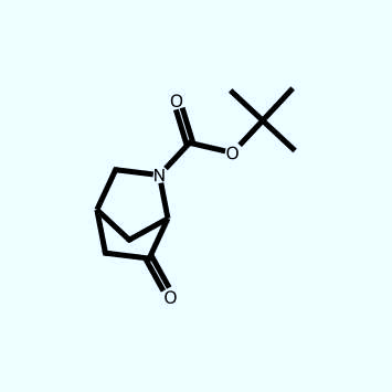 CC(C)(C)OC(=O)N1CC2CC(=O)C1C2